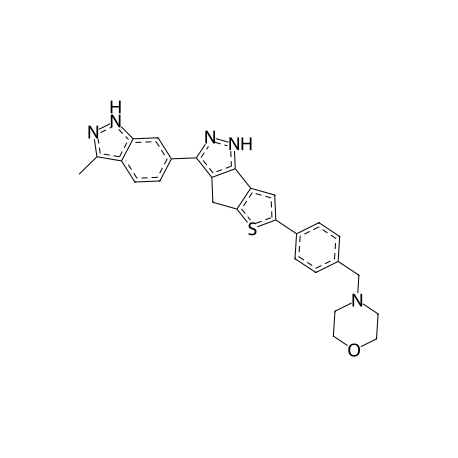 Cc1n[nH]c2cc(-c3n[nH]c4c3Cc3sc(-c5ccc(CN6CCOCC6)cc5)cc3-4)ccc12